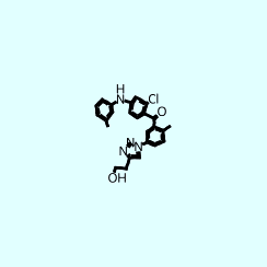 Cc1cccc(Nc2ccc(C(=O)c3cc(-n4cc(CCO)nn4)ccc3C)c(Cl)c2)c1